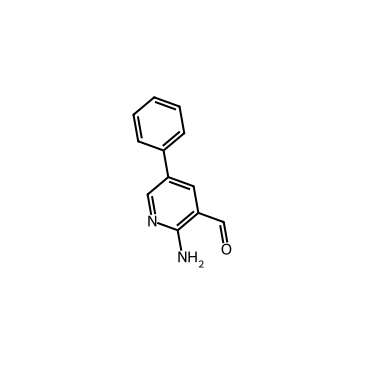 Nc1ncc(-c2ccccc2)cc1C=O